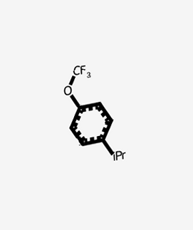 CC(C)c1[c]cc(OC(F)(F)F)cc1